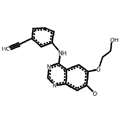 C#Cc1cccc(Nc2ncnc3cc([O])c(OCCO)cc23)c1